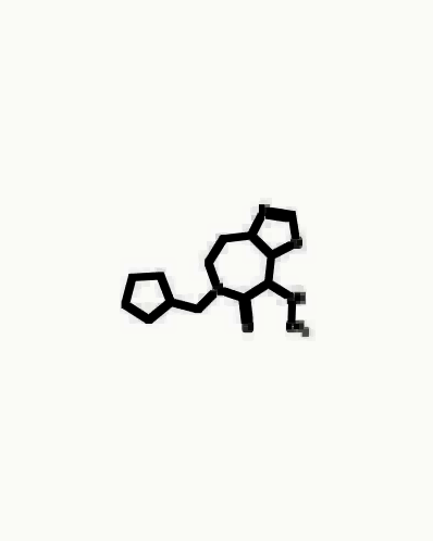 CNC1C(=O)N(CC2CCCC2)CCC2N=COC21